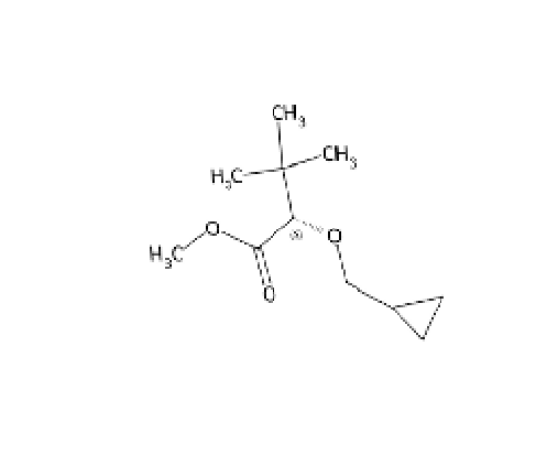 COC(=O)[C@@H](OCC1CC1)C(C)(C)C